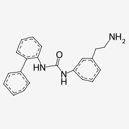 NCCc1cccc(NC(=O)Nc2ccccc2-c2ccccc2)c1